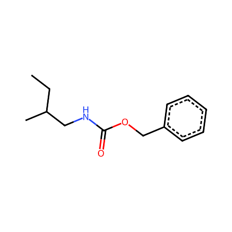 CCC(C)CNC(=O)OCc1ccccc1